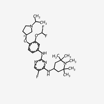 CC(C)N1CC[C@H](Oc2ccc(Nc3ncc(F)c(NC4CC(C)(C)N(C)C(C)(C)C4)n3)cc2OC(F)F)C1